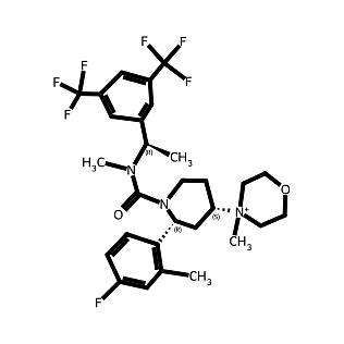 Cc1cc(F)ccc1[C@H]1C[C@@H]([N+]2(C)CCOCC2)CCN1C(=O)N(C)[C@H](C)c1cc(C(F)(F)F)cc(C(F)(F)F)c1